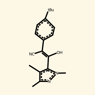 Cc1nn(C)c(C(O)=C(C#N)c2ccc(C(C)(C)C)cc2)c1C